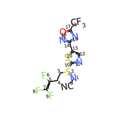 N#C/N=S(\CCC(F)=C(F)F)c1ncc(-c2noc(C(F)(F)F)n2)s1